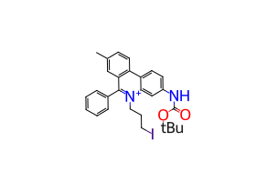 Cc1ccc2c(c1)c(-c1ccccc1)[n+](CCCI)c1cc(NC(=O)OC(C)(C)C)ccc21